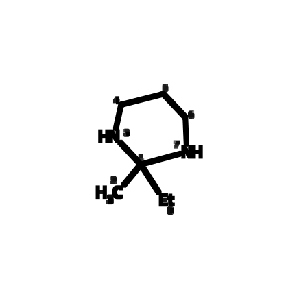 CCC1(C)NCCCN1